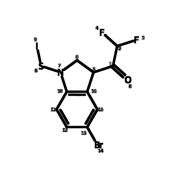 O=C(C(F)F)C1CN(SI)c2ccc(Br)cc21